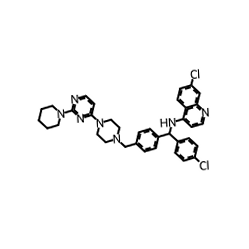 Clc1ccc(C(Nc2ccnc3cc(Cl)ccc23)c2ccc(CN3CCN(c4ccnc(N5CCCCC5)n4)CC3)cc2)cc1